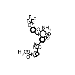 COC(=O)N1CC2CC(c3nnc(-c4ccc5c(c4)N(Cc4ccc(OC(F)(F)C(F)F)cc4)C(=O)[C@@H](N)CS5(=O)=O)o3)(C2)C1